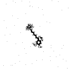 COc1cc2ncnc(CCCCCCNS(N)(=O)=O)c2cc1OC